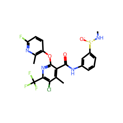 CN[S@+]([O-])c1cccc(NC(=O)c2c(Oc3ccc(F)nc3C)nc(C(F)(F)F)c(Cl)c2C)c1